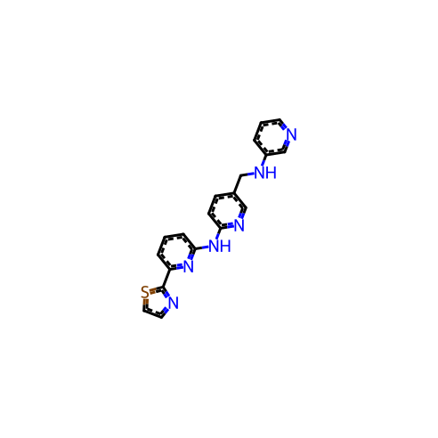 c1cncc(NCc2ccc(Nc3cccc(-c4nccs4)n3)nc2)c1